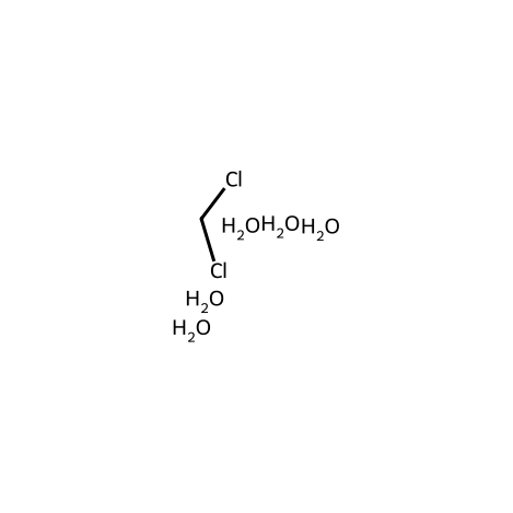 ClCCl.O.O.O.O.O